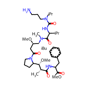 CC[C@H](C)[C@@H]([C@@H](CC(=O)N1CCCC1[C@H](OC)[C@@H](C)C(=O)NC(Cc1ccccc1)C(=O)OC)OC)N(C)C(=O)C(NC(=O)N(CCCN)C(C)C)C(C)C